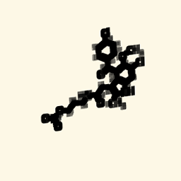 COc1c(Cl)cc2[nH]c(C)c(CC(=O)NCCCO[N+](=O)[O-])c2c1C(=O)c1ccc(Cl)cc1